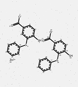 O=C([O-])c1ccc(S)c(Sc2ccccc2)c1.O=C([O-])c1ccc(S)c(Sc2ccccc2)c1.[Zn+2]